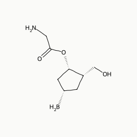 B[C@H]1C[C@@H](CO)[C@@H](OC(=O)CN)C1